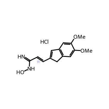 COc1cc2c(cc1OC)CC(/C=C/C(=N)NO)=C2.Cl